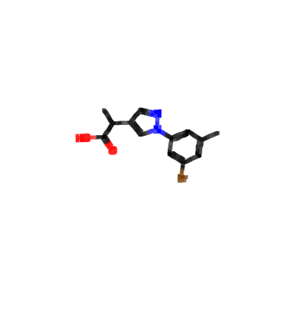 Cc1cc(Br)cc(-n2cc(C(C)C(=O)O)cn2)c1